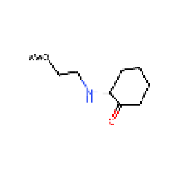 COCCNC1CCCCC1=O